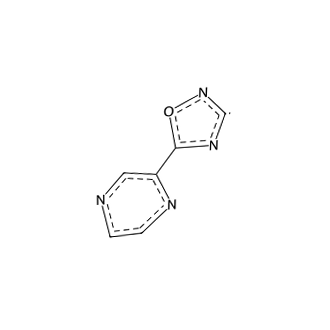 [c]1noc(-c2cnccn2)n1